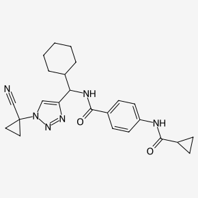 N#CC1(n2cc(C(NC(=O)c3ccc(NC(=O)C4CC4)cc3)C3CCCCC3)nn2)CC1